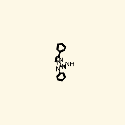 N=NC(=Nc1ccccc1)n1ccc(-c2ccccc2)n1